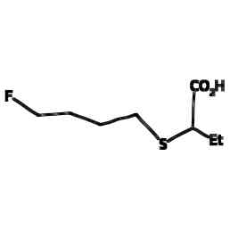 CCC(SCCCCF)C(=O)O